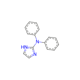 c1ccc(N(c2ccccc2)c2ncc[nH]2)cc1